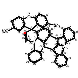 CC(C)(C)c1ccc2c(c1)C1(c3cc(C(C)(C)C)ccc3O2)c2ccccc2N2c3ccccc3B3c4c(ccc1c42)-n1c2ccccc2n2c4ccccc4c3c12